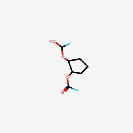 O=C(F)OC1CCCC1OC(O)F